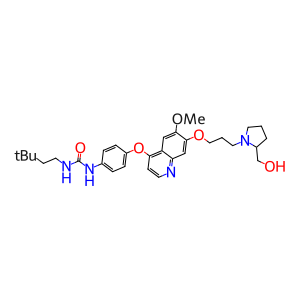 COc1cc2c(Oc3ccc(NC(=O)NCCC(C)(C)C)cc3)ccnc2cc1OCCCN1CCCC1CO